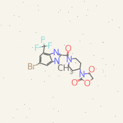 Cn1c(C(=O)N2CCC(N3C(=O)COC3=O)CC2)nc2c(C(F)(F)F)cc(Br)cc21